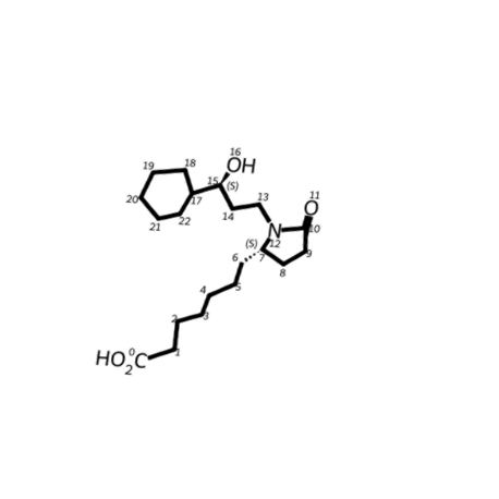 O=C(O)CCCCCC[C@H]1CCC(=O)N1CC[C@H](O)C1CCCCC1